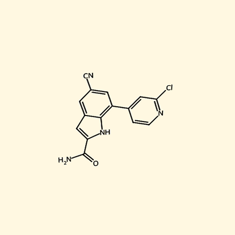 N#Cc1cc(-c2ccnc(Cl)c2)c2[nH]c(C(N)=O)cc2c1